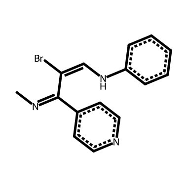 C/N=C(\C(Br)=C/Nc1ccccc1)c1ccncc1